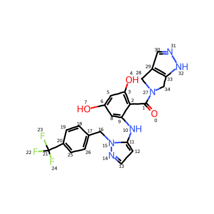 O=C(c1c(O)cc(O)cc1Nc1ccnn1Cc1ccc(C(F)(F)F)cc1)N1Cc2cn[nH]c2C1